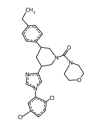 CCc1ccc(C2CC(c3cn(-c4cc(Cl)ccc4Cl)cn3)CN(C(=O)N3CCOCC3)C2)cc1